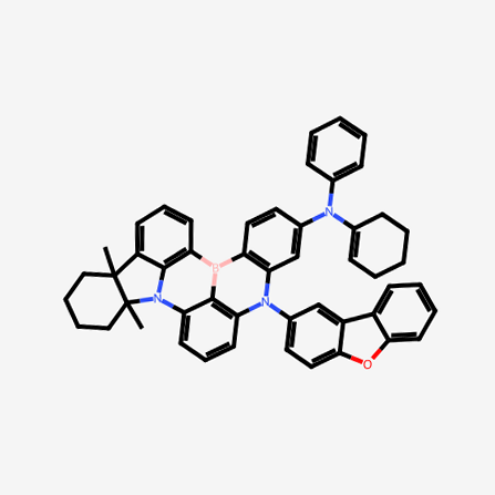 CC12CCCCC1(C)N1c3cccc4c3B(c3ccc(N(C5=CCCCC5)c5ccccc5)cc3N4c3ccc4oc5ccccc5c4c3)c3cccc2c31